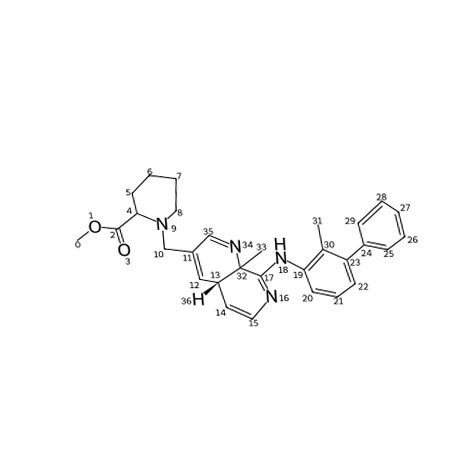 COC(=O)C1CCCCN1CC1=C[C@H]2C=CN=C(Nc3cccc(-c4ccccc4)c3C)C2(C)N=C1